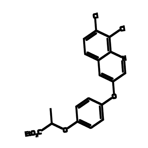 CCOC(=O)C(C)Oc1ccc(Oc2cnc3c(Cl)c(Cl)ccc3c2)cc1